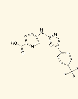 O=C(O)c1ccc(Nc2ncc(-c3ccc(C(F)(F)F)cc3)o2)cn1